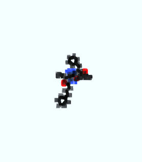 COC(=O)[C@H](Cc1ccccc1)NC(=O)[C@@](N)(CC(C)C)NC(=O)CCCc1ccccc1